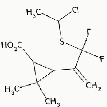 C=C(C1C(C(=O)O)C1(C)C)C(F)(F)SC(C)Cl